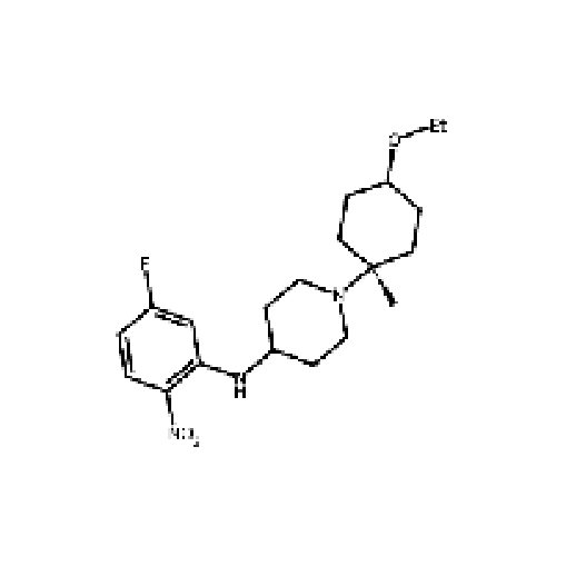 CCO[C@H]1CC[C@](C)(N2CCC(Nc3cc(F)ccc3[N+](=O)[O-])CC2)CC1